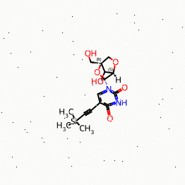 C[Si](C)(C)C#Cc1cn([C@@H]2O[C@]3(CO)CO[C@H]2C3O)c(=O)[nH]c1=O